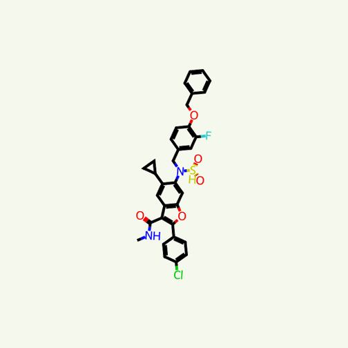 CNC(=O)c1c(-c2ccc(Cl)cc2)oc2cc(N(Cc3ccc(OCc4ccccc4)c(F)c3)[SH](=O)=O)c(C3CC3)cc12